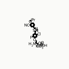 CC(C)Oc1ccc(-c2nnc(-c3cc(F)c(OCC(N)C(C)OP(=O)(O)O)cc3Cl)s2)cc1C#N